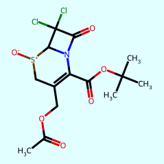 CC(=O)OCC1=C(C(=O)OC(C)(C)C)N2C(=O)C(Cl)(Cl)C2[S+]([O-])C1